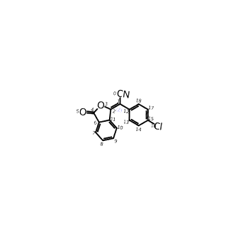 N#C/C(=C1\OC(=O)c2ccccc21)c1ccc(Cl)cc1